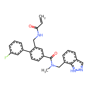 C=CC(=O)NCc1cc(C(=O)N(C)Cc2cccc3cn[nH]c23)ccc1-c1cccc(F)c1